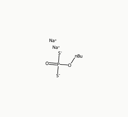 CCCCOP(=O)([S-])[S-].[Na+].[Na+]